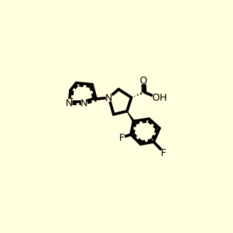 O=C(O)[C@H]1CN(c2cccnn2)C[C@@H]1c1ccc(F)cc1F